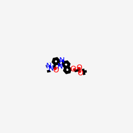 CCN(C(=O)c1cccc2nc3ccc4c(OCC(=O)OC(C)(C)C)cccc4c3nc12)N(C)C